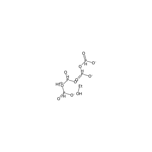 CCO.O=[PH]([O-])O[PH](=O)[O-].O=[PH]([O-])O[PH](=O)[O-].[Hf+4]